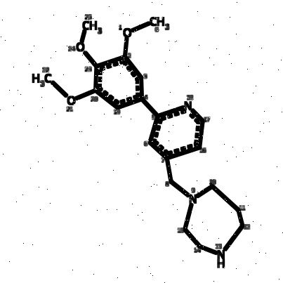 COc1cc(-c2cc(CN3CCCNCC3)ccn2)cc(OC)c1OC